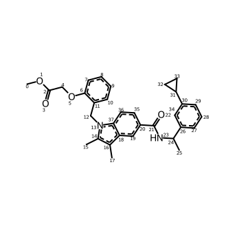 COC(=O)COc1ccccc1Cn1c(C)c(C)c2cc(C(=O)NC(C)c3cccc(C4CC4)c3)ccc21